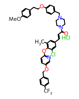 COc1ccc(CCOc2ccc(CN3CCN(C(=O)/C=C/c4cc(C)c(Oc5ccc(OCc6ccc(C(F)(F)F)cc6)cn5)c(Cl)c4)CC3)cc2)cc1.Cl